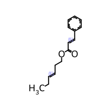 CC/C=C/CCOC(=O)/C=C/c1ccccc1